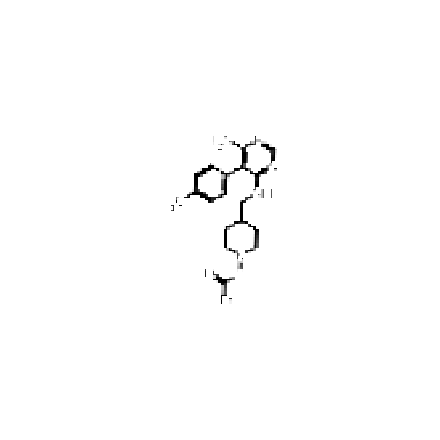 CCC(=O)ON1CCC(CNc2ncnc(N)c2-c2ccc(C(F)(F)F)cc2)CC1